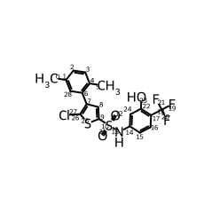 Cc1ccc(C)c(-c2cc(S(=O)(=O)Nc3ccc(C(F)(F)F)c(O)c3)sc2Cl)c1